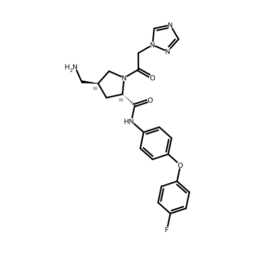 NC[C@@H]1C[C@@H](C(=O)Nc2ccc(Oc3ccc(F)cc3)cc2)N(C(=O)Cn2cncn2)C1